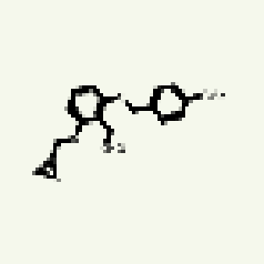 COc1ccc(COc2cccc(OCC3CC3)c2CC=O)cc1